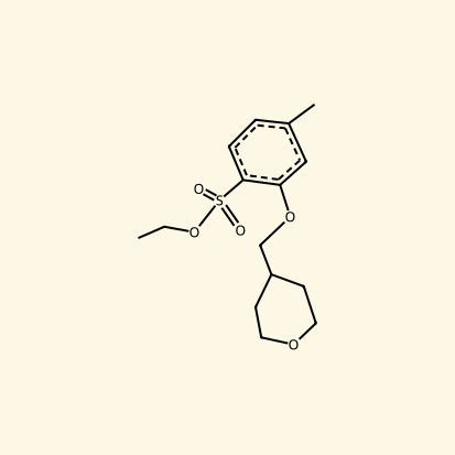 CCOS(=O)(=O)c1ccc(C)cc1OCC1CCOCC1